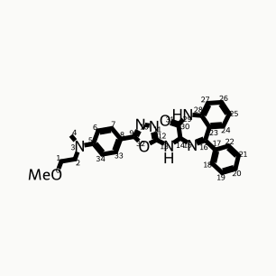 COCCN(C)c1ccc(-c2nnc(NC3N=C(c4ccccc4)c4ccccc4NC3=O)o2)cc1